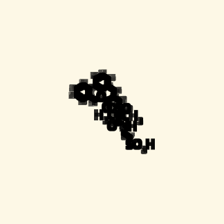 CC(C)(C(=O)NCCS(=O)(=O)O)S(=O)(=O)CC(Cc1ccccc1)C(=O)OCc1ccccc1